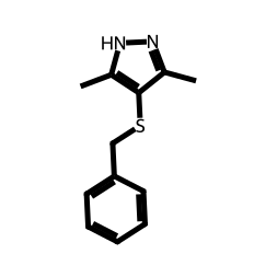 Cc1n[nH]c(C)c1SCc1ccccc1